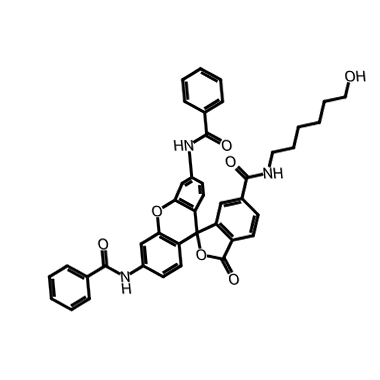 O=C(NCCCCCCO)c1ccc2c(c1)C1(OC2=O)c2ccc(NC(=O)c3ccccc3)cc2Oc2cc(NC(=O)c3ccccc3)ccc21